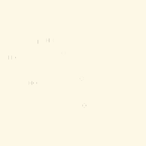 CO[C@H](COC(=O)c1ccccc1)C(O)C(C)F